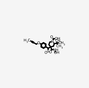 CC#CCOc1ccc(C(=S=O)C2(C(=O)NO)CCN(C(=O)O)C(C(C)(C)C)C2)cc1